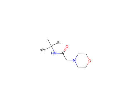 CCCC(C)(CC)NC(=O)CN1CCOCC1